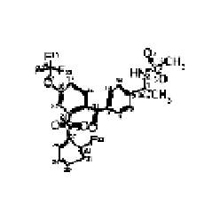 C[C@H](NS(C)(=O)=O)c1ccc(C(=O)c2ccc(OC(F)(F)F)cc2S(=O)(=O)c2ccccc2F)cc1